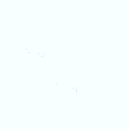 C=CC(=O)NC(C)(C)CN[N+](C)(C)C.Cl